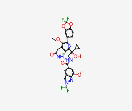 CCOc1c(-c2ccc3c(c2)OC(F)(F)O3)nc([C@@](O)(CNC(=O)c2cc(OC)c3nn(C(F)F)cc3c2)C2CC2)c(F)c1CC(N)=O